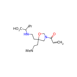 C=CC(=O)N1COC(CCNC)(CCNC(C(=O)O)C(C)C)C1